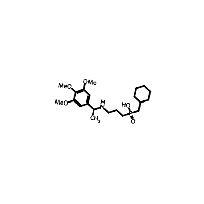 COc1cc([C@H](C)NCCCP(=O)(O)CC2CCCCC2)cc(OC)c1OC